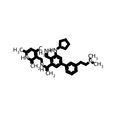 C=C1NC(C)=CC(C)=C1CNC(=C)c1cc(-c2cccc(CCN(C)C)c2)cc(NC2CCCC2)c1C=N